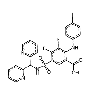 O=C(O)c1cc(S(=O)(=O)NC(c2ccccn2)c2ccccn2)c(F)c(F)c1Nc1ccc(I)cc1